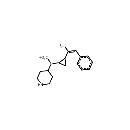 CC(=Cc1ccccc1)C1CC1N(C(=O)O)C1CCNCC1